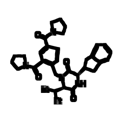 CCC(CC)[C@@H]1C(=O)N[C@H](C2Cc3ccccc3C2)C(=O)N1Cc1ccc(C(=O)N2CCCC2)cc1C(=O)N1CCCC1